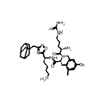 Cc1cc(O)cc(C)c1C[C@H](NC(=O)[C@H](N)CCCNC(=N)N)C(=O)N[C@@H](CCCCN)c1nc(CC23CC4CC(CC(C4)C2)C3)no1